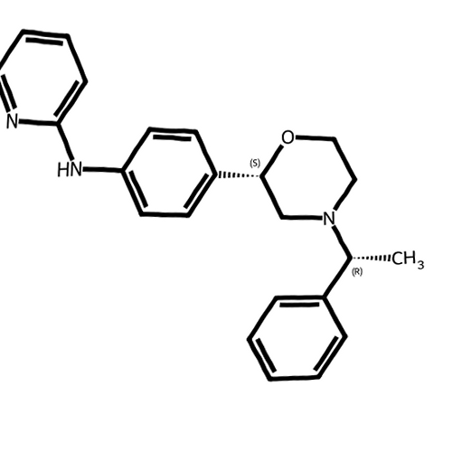 C[C@H](c1ccccc1)N1CCO[C@@H](c2ccc(Nc3ccccn3)cc2)C1